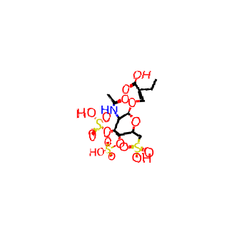 CCC(=CO[C@H]1OC(CS(=O)(=O)O)C(OS(=O)(=O)O)C(OS(=O)(=O)O)C1NC(C)=O)C(=O)O